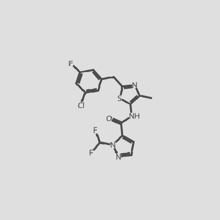 Cc1nc(Cc2cc(F)cc(Cl)c2)sc1NC(=O)c1ccnn1C(F)F